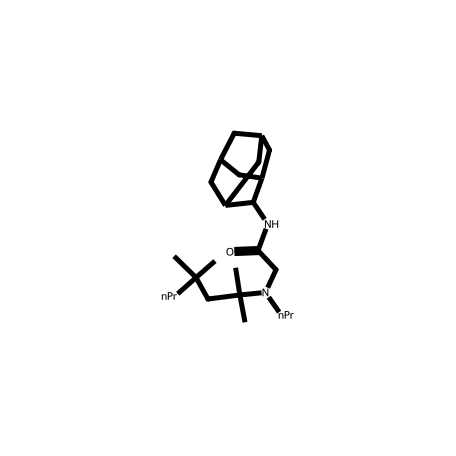 CCCN(CC(=O)NC1C2CC3CC(C2)CC1C3)C(C)(C)CC(C)(C)CCC